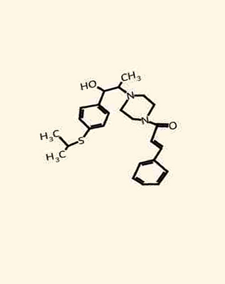 CC(C)Sc1ccc(C(O)C(C)N2CCN(C(=O)/C=C/c3ccccc3)CC2)cc1